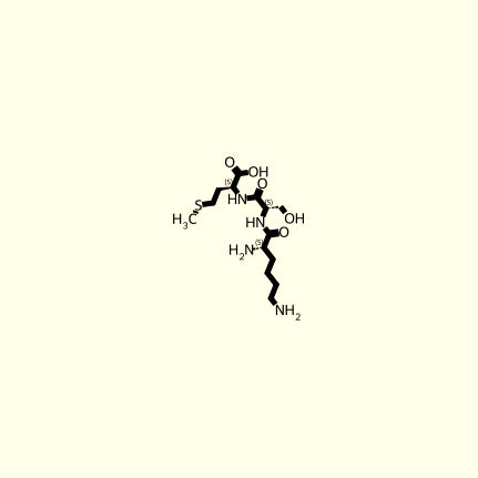 CSCC[C@H](NC(=O)[C@H](CO)NC(=O)[C@@H](N)CCCCN)C(=O)O